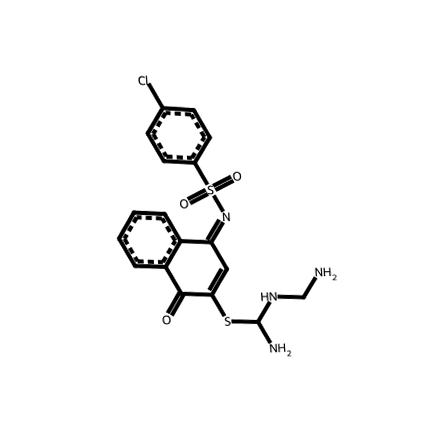 NCNC(N)SC1=C/C(=N/S(=O)(=O)c2ccc(Cl)cc2)c2ccccc2C1=O